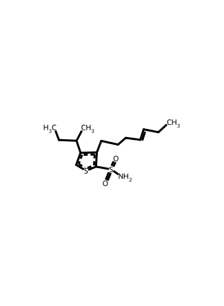 CCC=CCCCc1c(C(C)CC)csc1S(N)(=O)=O